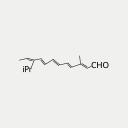 C/C=C(/C=C/C=C/C=C/C(C)=C/C=O)C(C)C